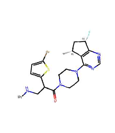 CC(C)NCC(C(=O)N1CCN(c2ncnc3c2[C@H](C)C[C@@H]3F)CC1)c1ccc(Br)s1